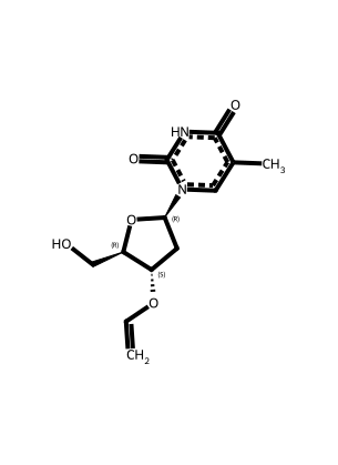 C=CO[C@H]1C[C@H](n2cc(C)c(=O)[nH]c2=O)O[C@@H]1CO